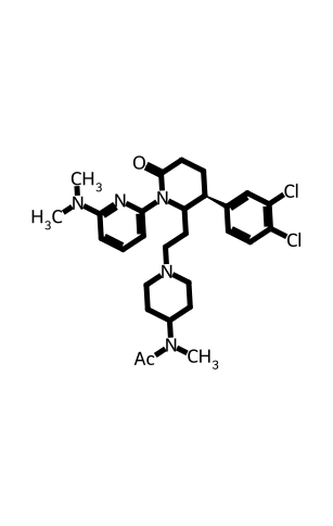 CC(=O)N(C)C1CCN(CCC2[C@H](c3ccc(Cl)c(Cl)c3)CCC(=O)N2c2cccc(N(C)C)n2)CC1